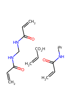 C=CC(=O)NC(C)C.C=CC(=O)NCNC(=O)C=C.C=CC(=O)O